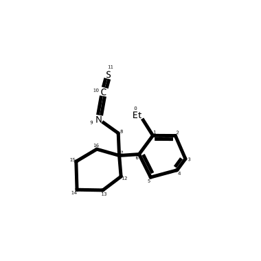 CCc1ccccc1C1(CN=C=S)CCCCC1